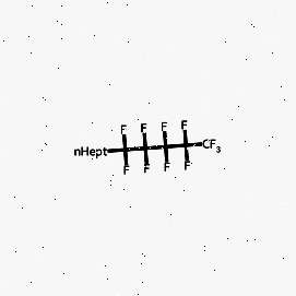 CCCCCCCC(F)(F)C(F)(F)C(F)(F)C(F)(F)C(F)(F)F